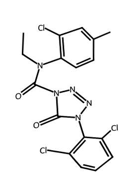 CCN(C(=O)n1nnn(-c2c(Cl)cccc2Cl)c1=O)c1ccc(C)cc1Cl